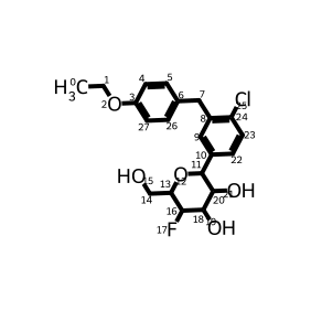 CCOc1ccc(Cc2cc(C3OC(CO)C(F)C(O)C3O)ccc2Cl)cc1